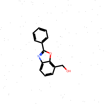 OCc1cccc2nc(-c3ccccc3)oc12